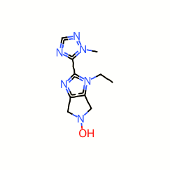 CCn1c(-c2ncnn2C)nc2c1CN(O)C2